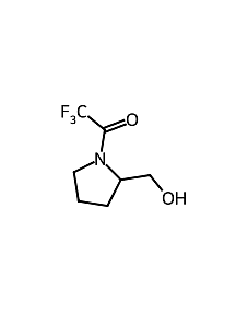 O=C(N1CCCC1CO)C(F)(F)F